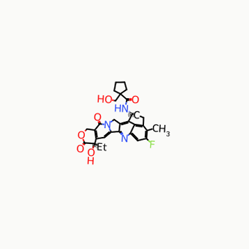 CC[C@@]1(O)C(=O)OCc2c1cc1n(c2=O)Cc2c-1nc1cc(F)c(C)c3c1c2[C@H](NC(=O)C1(CO)CCCC1)CC3